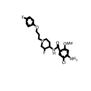 COc1cc(N)c(Cl)cc1C(=O)NC1CCN(CCCOc2ccc(F)cc2)CC1F